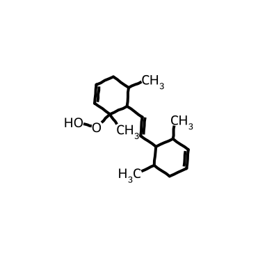 CC1C=CCC(C)C1/C=C/C1C(C)CC=CC1(C)OO